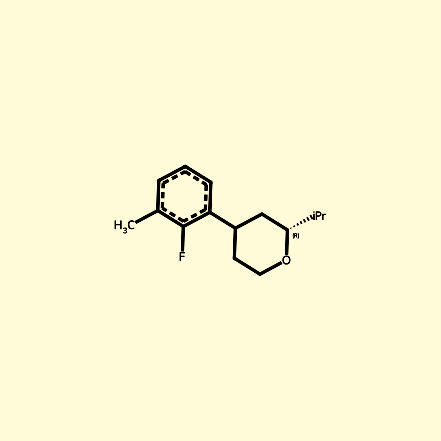 Cc1cccc(C2CCO[C@@H](C(C)C)C2)c1F